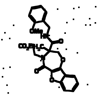 CCOC(=O)CN1C(=O)c2oc3ccccc3c2OCC1(C)C(=O)NCc1ccccc1OC